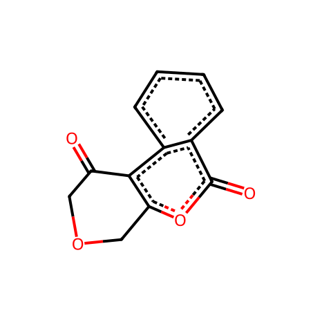 O=C1COCc2oc(=O)c3ccccc3c21